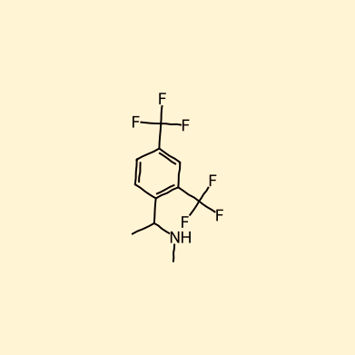 CNC(C)c1ccc(C(F)(F)F)cc1C(F)(F)F